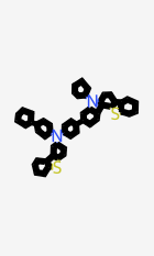 c1ccc(-c2ccc(N(c3ccc(-c4ccc5c6c7sc8ccccc8c7ccc6n(-c6ccccc6)c5c4)cc3)c3ccc4sc5ccccc5c4c3)cc2)cc1